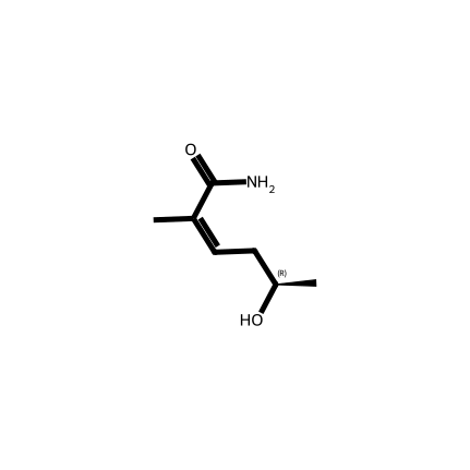 CC(=CC[C@@H](C)O)C(N)=O